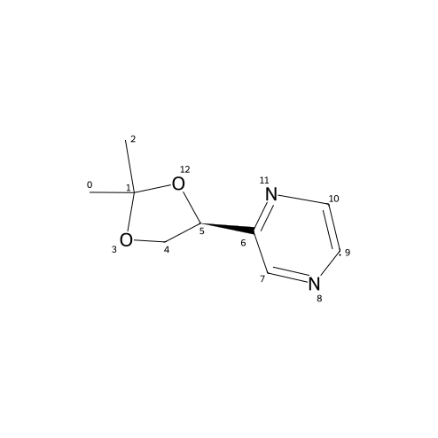 CC1(C)OC[C@H](c2cn[c]cn2)O1